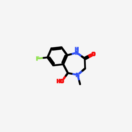 CN1CC(=O)Nc2ccc(F)cc2C1O